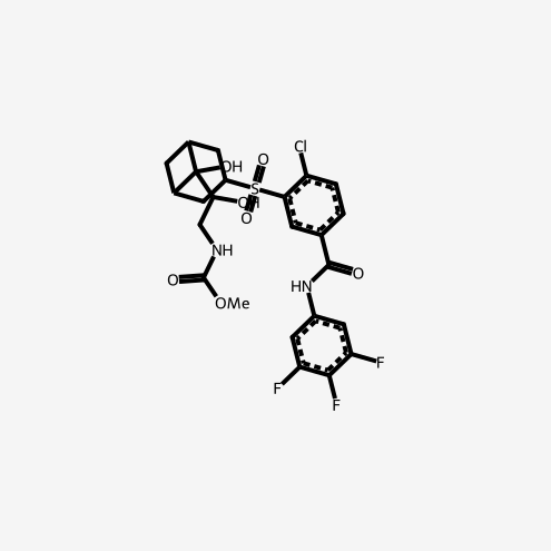 COC(=O)NCC(O)C1(O)C2CC1CC(S(=O)(=O)c1cc(C(=O)Nc3cc(F)c(F)c(F)c3)ccc1Cl)C2